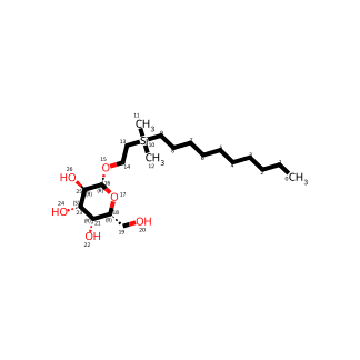 CCCCCCCCCC[Si](C)(C)CCO[C@@H]1O[C@H](CO)[C@H](O)[C@H](O)[C@H]1O